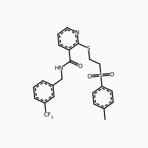 Cc1ccc(S(=O)(=O)CCSc2ncccc2C(=O)NCc2cccc(C(F)(F)F)c2)cc1